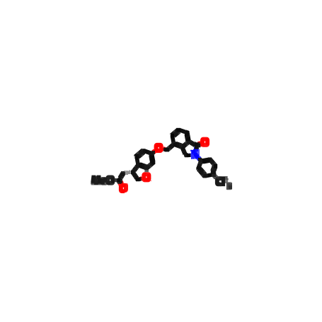 COC(=O)C[C@H]1COc2cc(OCc3cccc4c3CN(c3ccc(C(F)(F)F)cc3)C4=O)ccc21